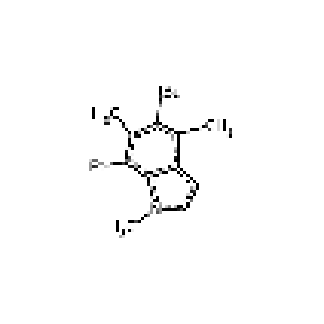 CCc1c(C)c(C(C)(C)C)c(C)c2ccn(C)c12